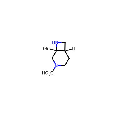 CC(C)(C)C12CN(C(=O)O)CC[C@H]1CN2